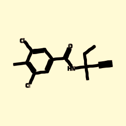 C#CC(C)(CC)NC(=O)c1cc(Cl)c(C)c(Cl)c1